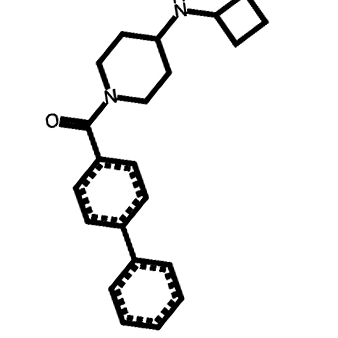 O=C(c1ccc(-c2ccccc2)cc1)N1CCC(NC2CCC2)CC1